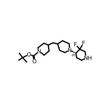 CC(C)(C)OC(=O)N1CCC(CC2CCN([C@@H]3CCNCC3(F)F)CC2)CC1